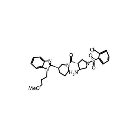 COCCCn1c([C@@H]2CCCN(C(=O)[C@@H]3CN(S(=O)(=O)c4ccccc4Cl)C[C@H]3N)C2)nc2ccccc21